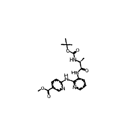 COC(=O)c1ccc(Nc2ncccc2NC(=O)[C@H](C)NC(=O)OC(C)(C)C)nc1